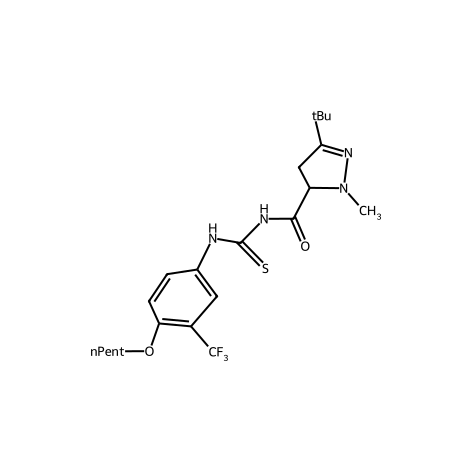 CCCCCOc1ccc(NC(=S)NC(=O)C2CC(C(C)(C)C)=NN2C)cc1C(F)(F)F